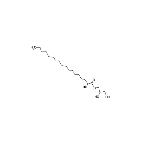 CCCCCCCCCCCCCCCCC(O)C(=O)OCC(O)CO